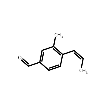 C/C=C\c1ccc(C=O)cc1C